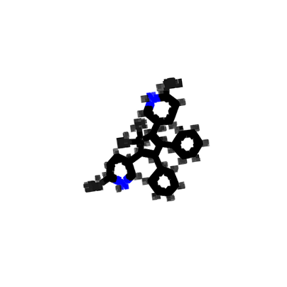 CC[Si]1(CC)C(c2ccc(C(C)(C)C)nc2)=C(c2ccccc2)C(c2ccccc2)=C1c1ccc(C(C)(C)C)nc1